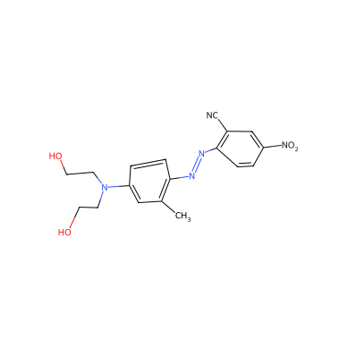 Cc1cc(N(CCO)CCO)ccc1N=Nc1ccc([N+](=O)[O-])cc1C#N